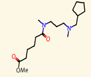 COC(=O)CCCCC(=O)N(C)CCCN(C)CC1CCCC1